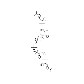 CC(C)OCC(=O)C(C)(C)C(C)(C)OC(C)C(=O)C(C)(C)OC(C)(C)CCOC(C)(C)C(C)(C)C(=O)C(C)OC(C)(C)C(C)(C)C(=O)COC(C)C